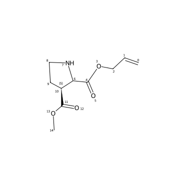 C=CCOC(=O)C1NCC[C@@H]1C(=O)OC